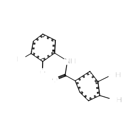 O=C(Nc1cccc(O)c1O)c1ccc(O)c(O)c1